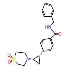 O=C(NCc1ccccc1)c1ccc([C@@H]2C[C@H]2N2CCS(=O)(=O)CC2)cc1